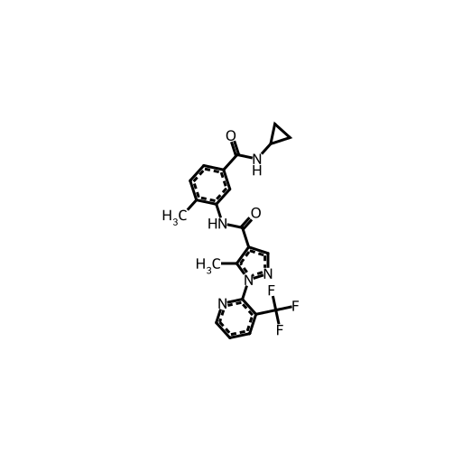 Cc1ccc(C(=O)NC2CC2)cc1NC(=O)c1cnn(-c2ncccc2C(F)(F)F)c1C